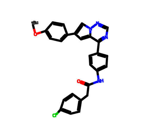 CC(C)(C)Oc1ccc(-c2cc3c(-c4ccc(NC(=O)Cc5ccc(Cl)cc5)cc4)ncnn3c2)cc1